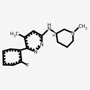 Cc1cc(N[C@@H]2CCCN(C)C2)nnc1-c1ccccc1F